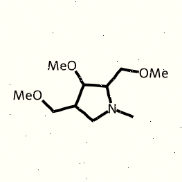 COCC1CN(C)C(COC)C1OC